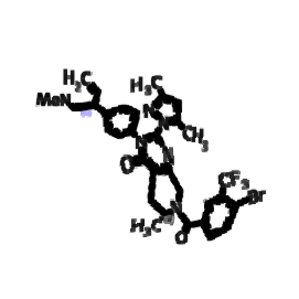 C=C/C(=C\NC)c1ccc(-n2c(-n3nc(C)cc3C)nc3c(c2=O)C[C@@H](C)N(C(=O)c2ccc(Br)c(C(F)(F)F)c2)C3)cc1